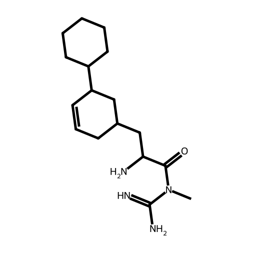 CN(C(=N)N)C(=O)C(N)CC1CC=CC(C2CCCCC2)C1